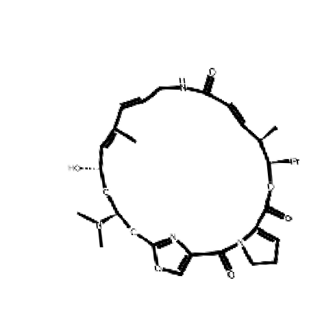 CC1=C\[C@@H](O)C[C@H](N(C)C)Cc2nc(co2)C(=O)N2CCC=C2C(=O)O[C@H](C(C)C)[C@H](C)/C=C/C(=O)NC\C=C\1